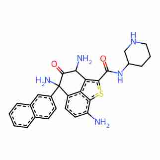 Nc1ccc2c3c(c(C(=O)NC4CCCNC4)sc13)C(N)C(=O)C2(N)c1ccc2ccccc2c1